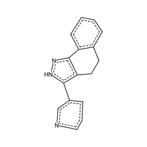 c1cncc(-c2[nH]nc3c2CCc2ccccc2-3)c1